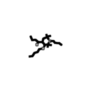 CCCCCOC1C(C(=O)CCC)CC(C)(C)N(CCCC)C1(C)C